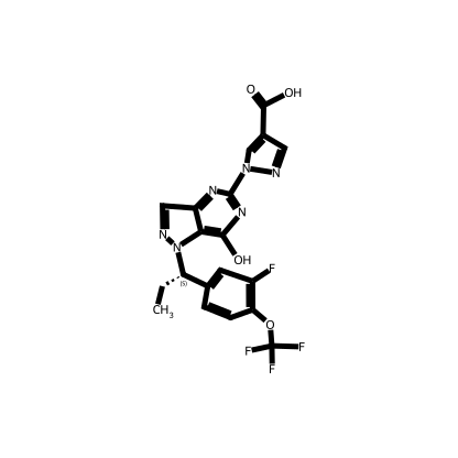 CC[C@@H](c1ccc(OC(F)(F)F)c(F)c1)n1ncc2nc(-n3cc(C(=O)O)cn3)nc(O)c21